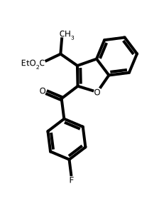 CCOC(=O)C(C)c1c(C(=O)c2ccc(F)cc2)oc2ccccc12